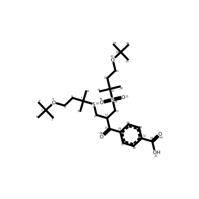 CC(C)(C)OCCC(C)(C)SCC(CS(=O)(=O)C(C)(C)CCOC(C)(C)C)C(=O)c1ccc(C(=O)O)cc1